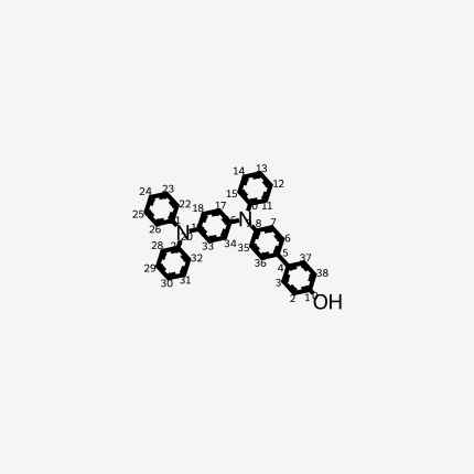 Oc1ccc(-c2ccc(N(c3ccccc3)c3ccc(N(c4ccccc4)c4ccccc4)cc3)cc2)cc1